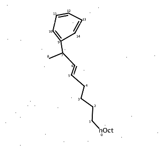 CCCCCCCCCCCC/C=C/C(C)c1ccccc1